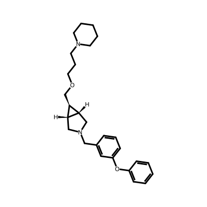 c1ccc(Oc2cccc(CN3C[C@@H]4[C@@H](COCCCN5CCCCC5)[C@@H]4C3)c2)cc1